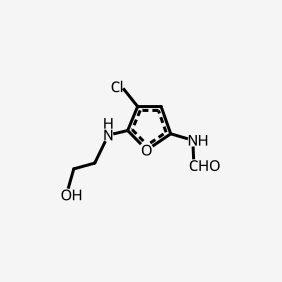 O=CNc1cc(Cl)c(NCCO)o1